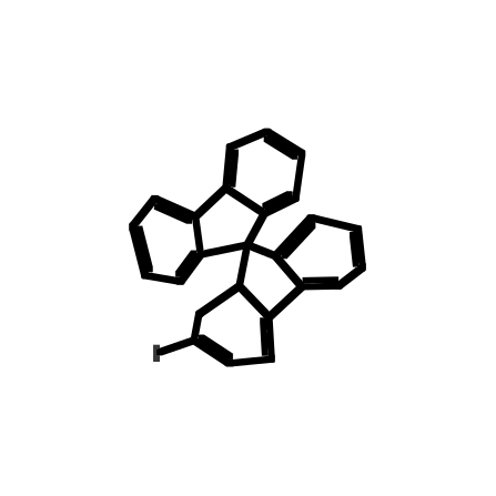 IC1=CC=C2c3ccccc3C3(c4ccccc4-c4ccccc43)C2C1